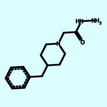 NNC(=O)CN1CCC(Cc2ccccc2)CC1